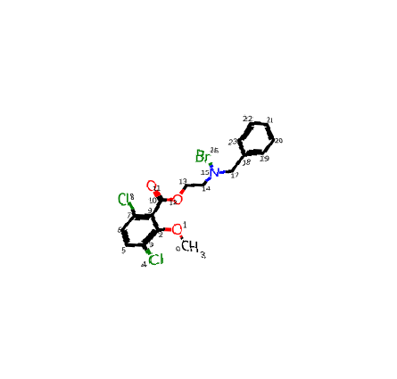 COc1c(Cl)ccc(Cl)c1C(=O)OCCN(Br)Cc1ccccc1